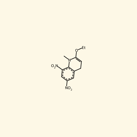 CCOC1=CCc2cc([N+](=O)[O-])cc([N+](=O)[O-])c2N1C